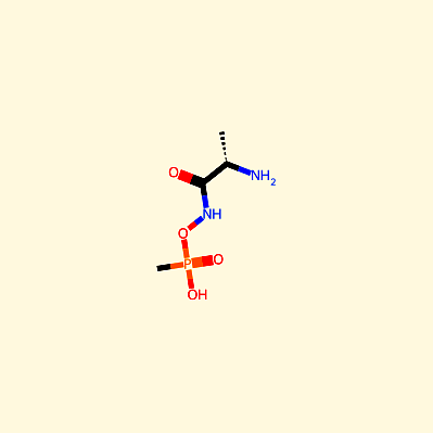 C[C@H](N)C(=O)NOP(C)(=O)O